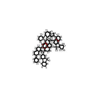 CC1(C)c2ccccc2-c2ccc(N(c3c(-c4ccccc4)ccc4ccc(-c5ccccc5)cc34)c3ccc4ccc5c(N(c6ccc7c(c6)C(C)(C)c6ccccc6-7)c6c(-c7ccccc7)ccc7ccc(-c8ccccc8)cc67)ccc6ccc3c4c65)cc21